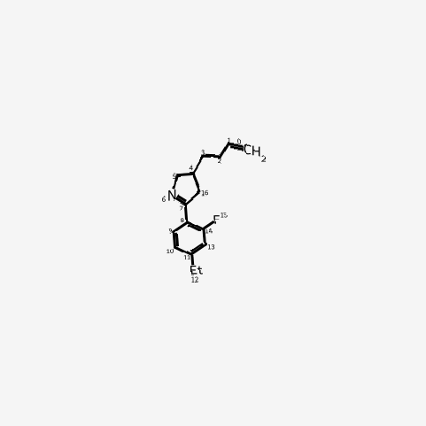 C=CCCC1CN=C(c2ccc(CC)cc2F)C1